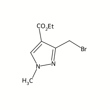 CCOC(=O)c1cn(C)nc1CBr